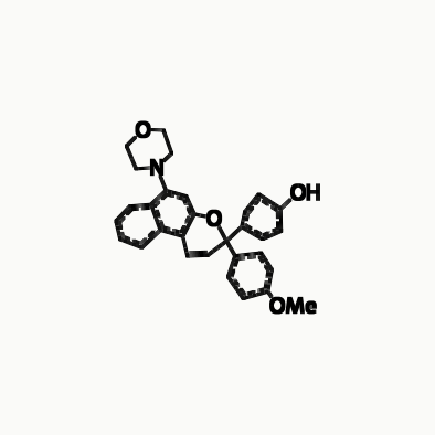 COc1ccc(C2(c3ccc(O)cc3)C=Cc3c(cc(N4CCOCC4)c4ccccc34)O2)cc1